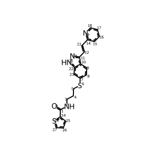 O=C(NCCCSc1ccc2c(C=Cc3ccccn3)n[nH]c2c1)c1cccs1